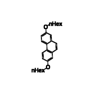 CCCCCCOc1ccc2c(ccc3cc(OCCCCCC)ccc32)c1